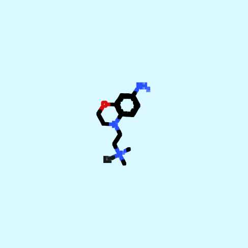 CC[N+](C)(C)CCN1CCOc2cc(N)ccc21